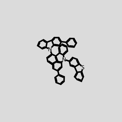 c1ccc(-c2cccc(N(c3ccc4sc5ccccc5c4c3)c3ccccc3-c3ccccc3-n3c4ccccc4c4ccc(-c5ccccc5)cc43)c2)cc1